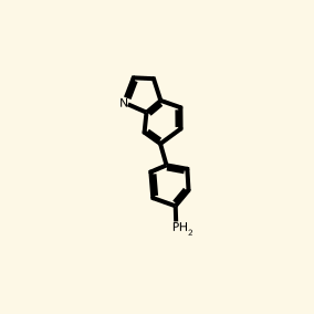 Pc1ccc(-c2ccc3c(c2)N=CC3)cc1